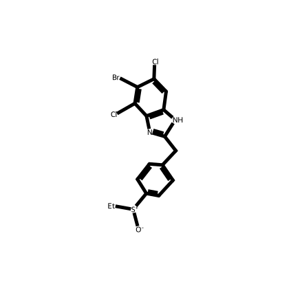 CC[S+]([O-])c1ccc(Cc2nc3c(Cl)c(Br)c(Cl)cc3[nH]2)cc1